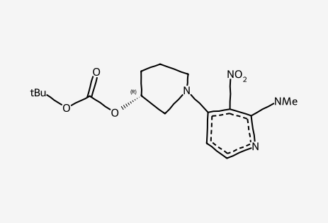 CNc1nccc(N2CCC[C@@H](OC(=O)OC(C)(C)C)C2)c1[N+](=O)[O-]